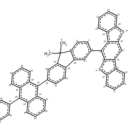 CC1(C)c2ccc(-c3c4sc5ccccc5c4cc4sc5ccccc5c34)cc2-c2ccc(-c3c4ccccc4c(-c4ccccc4)c4ccccc34)cc21